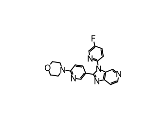 Fc1ccc(-n2c(-c3ccc(N4CCOCC4)nc3)nc3ccncc32)nc1